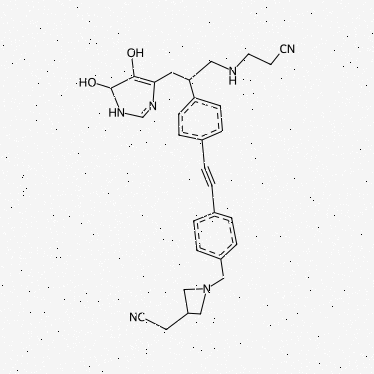 N#CCCNCC(CC1=C(O)C(O)NC=N1)c1ccc(C#Cc2ccc(CN3CC(CC#N)C3)cc2)cc1